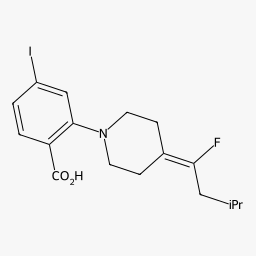 CC(C)CC(F)=C1CCN(c2cc(I)ccc2C(=O)O)CC1